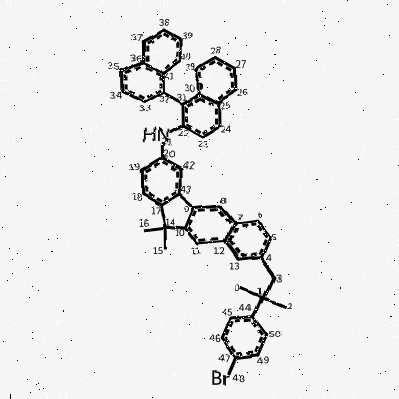 CC(C)(Cc1ccc2cc3c(cc2c1)C(C)(C)c1ccc(Nc2ccc4ccccc4c2-c2cccc4ccccc24)cc1-3)c1ccc(Br)cc1